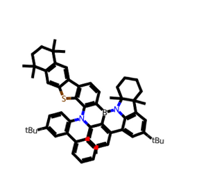 Cc1cc2c3c(c1)N(c1ccc(C(C)(C)C)cc1-c1ccccc1)c1c(ccc4c1sc1cc5c(cc14)C(C)(C)CCC5(C)C)B3N1c3c-2cc(C(C)(C)C)cc3C2(C)CCCCC12C